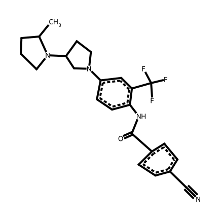 CC1CCCN1C1CCN(c2ccc(NC(=O)c3ccc(C#N)cc3)c(C(F)(F)F)c2)C1